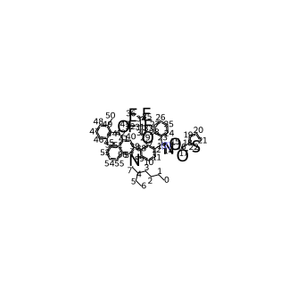 CCCCC(CC)Cn1c2ccc(/C(=N/OC(=O)c3cccs3)c3ccccc3OCC(F)(F)C(F)F)cc2c2cc(C(=O)c3ccccc3C)c3ccccc3c21